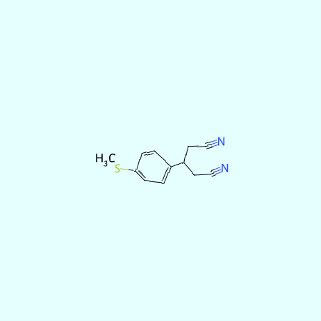 CSc1ccc(C(CC#N)CC#N)cc1